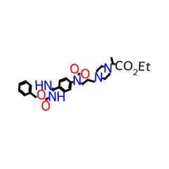 CCOC(=O)C(C)N1CCN(CC2CN(c3ccc(C(=N)NC(=O)OCc4ccccc4)cc3)C(=O)O2)CC1